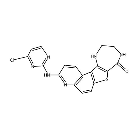 O=C1NCCNc2c1sc1ccc3nc(Nc4nccc(Cl)n4)ccc3c21